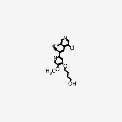 COc1cnc(C(C#N)=Cc2c(Cl)cncc2Cl)cc1OCCCCO